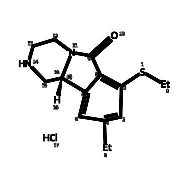 CCSc1cc(CC)cc2c1C(=O)N1CCNC[C@@H]21.Cl